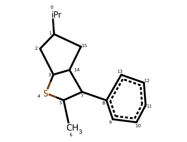 CC(C)C1CC2SC(C)C(c3ccccc3)C2C1